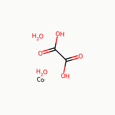 O.O.O=C(O)C(=O)O.[Co]